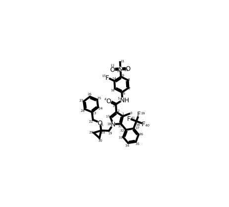 Cc1c(C(=O)Nc2ccc(S(C)(=O)=O)c(F)c2)cn(CC2(OCc3ccccc3)CC2)c1-c1ccccc1C(F)(F)F